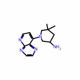 CC1(C)CC(N)CN(c2ccnc3nccnc23)C1